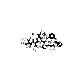 CC[C@H](C)[C@@H]([C@@H](CC(=O)N1CCC[C@H]1[C@H](OC)[C@@H](C)C(=O)N[C@@H](Cc1cccc(N)c1)c1nccs1)OC)N(C)C(=O)[C@@H](NC(=O)[C@@H](NC)C(C)C)C(C)C